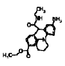 CCNC(=O)C(c1ccc(C(=O)OCC)cc1)c1cc(N)ccc1N1CCCCC1